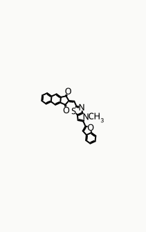 Cn1c(-c2cc3ccccc3o2)cc2sc(C=C3C(=O)c4cc5ccccc5cc4C3=O)nc21